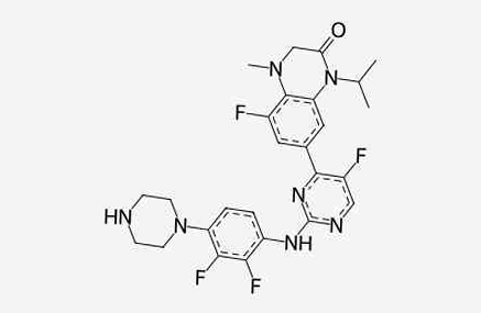 CC(C)N1C(=O)CN(C)c2c(F)cc(-c3nc(Nc4ccc(N5CCNCC5)c(F)c4F)ncc3F)cc21